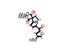 CCCCc1coc(C(=O)c2ccc3n2CCC3(C(=O)OC)C(=O)OC)c1